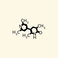 CC1=C(c2cc(C)nc(C)c2)CC(C)C(=O)N1